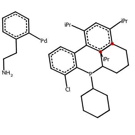 CC(C)c1cc(C(C)C)c(-c2cccc(Cl)c2P(C2CCCCC2)C2CCCCC2)c(C(C)C)c1.NCCc1cccc[c]1[Pd]